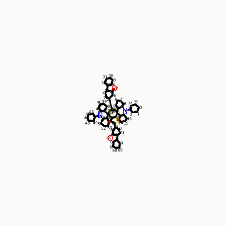 c1ccc(N2c3ccccc3C3(c4ccccc42)c2cc(-c4ccc5c(c4)oc4ccccc45)sc2C2(c4ccccc4N(c4ccccc4)c4ccccc42)c2cc(-c4ccc5c(c4)oc4ccccc45)sc23)cc1